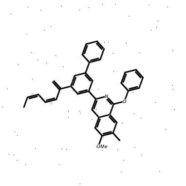 C=C(/C=C\C=C/C)c1cc(-c2ccccc2)cc(-c2cc3cc(OC)c(C)cc3c(Oc3ccccc3)n2)c1